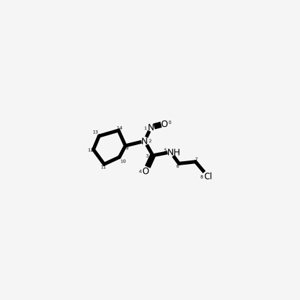 O=NN(C(=O)NCCCl)C1CCCCC1